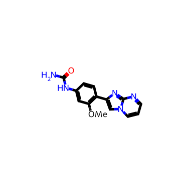 COc1cc(NC(N)=O)ccc1-c1cn2cccnc2n1